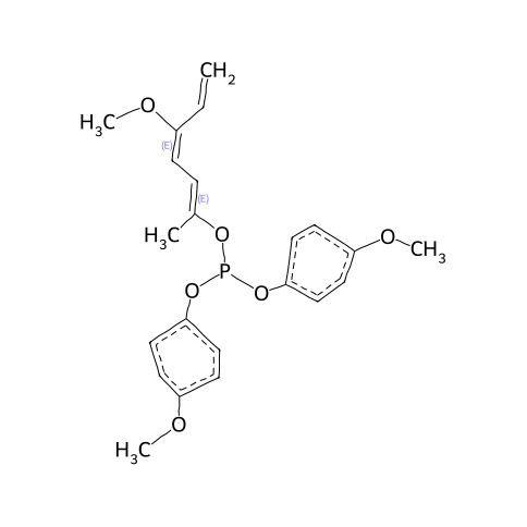 C=C/C(=C\C=C(/C)OP(Oc1ccc(OC)cc1)Oc1ccc(OC)cc1)OC